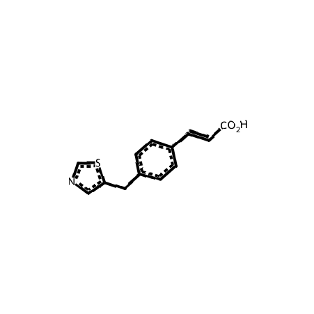 O=C(O)C=Cc1ccc(Cc2cncs2)cc1